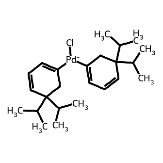 CC(C)C1(C(C)C)C=CC=[C]([Pd-]([Cl])[C]2=CC=CC(C(C)C)(C(C)C)C2)C1